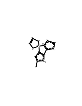 Cc1cc2c(s1)-c1sccc1[Si]21CC=CC1